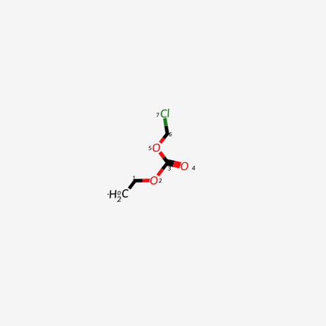 [CH2]COC(=O)OCCl